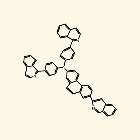 c1ccc2cc(-c3ccc4c(ccc5cc(N(c6ccc(-c7nccc8ccccc78)cc6)c6ccc(-c7nccc8ccccc78)cc6)ccc54)c3)ncc2c1